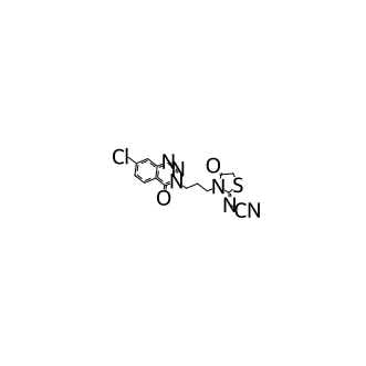 N#CN=C1SCC(=O)N1CCCn1nnc2cc(Cl)ccc2c1=O